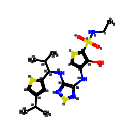 CCNS(=O)(=O)c1scc(Nc2nsnc2N[C@@H](c2cc(C(C)C)cs2)C(C)C)c1O